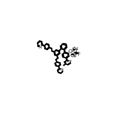 Cc1ccnc(-c2ccc(-c3ccccc3-c3cc(CCc4ccc(-c5ccccn5)cc4)cc(CCc4ccc(-c5ccccn5)cc4)c3)c(OS(=O)(=O)C(F)(F)F)c2)c1